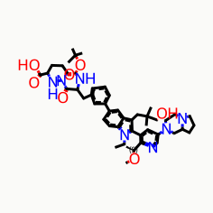 CCn1c(-c2cc(N3CCN4CCCC4C3)cnc2[C@H](C)OC)c(CC(C)(C)CO)c2cc(-c3cccc(CC(NC(=O)OC(C)(C)C)C(=O)N4CCCC(C(=O)O)N4)c3)ccc21